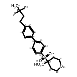 CC(F)(F)CCc1ccc(-c2ccc(S(=O)(=O)C3(C(=O)O)CCOCC3)cc2)cc1